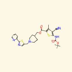 Cc1c(C(=O)OCC2CCN(Cc3cnc(-c4ccccn4)s3)CC2)sc(NC(=O)OC(C)(C)C)c1C#N